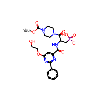 CCCCOC(=O)N1CCN(C(=O)C(CP(=O)(O)O)NC(=O)c2cc(OCCO)nc(-c3ccccc3)n2)CC1